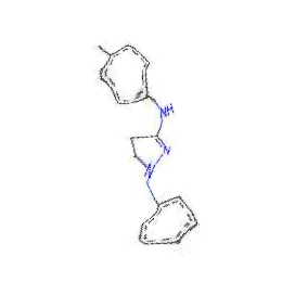 Cc1ccc(NC2=NN(c3ccccc3)CC2)cc1